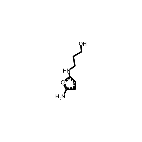 Nc1ccc(NCCCO)o1